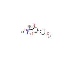 CCONC(CC)=C1C(=O)CC(C2CCC(OC(C)(C)C)CC2)CC1=O